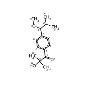 COC(c1ccc(C(=O)C(C)(C)O)cc1)C(C)C